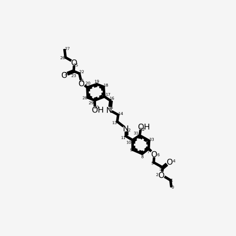 CCOC(=O)COc1ccc(C=NCCN=Cc2ccc(OCC(=O)OCC)cc2O)c(O)c1